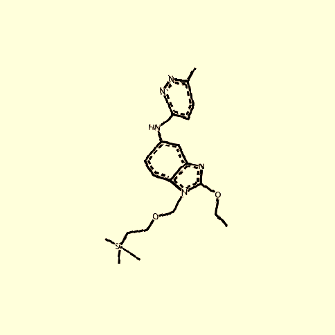 CCOc1nc2cc(Nc3ccc(C)nn3)ccc2n1COCC[Si](C)(C)C